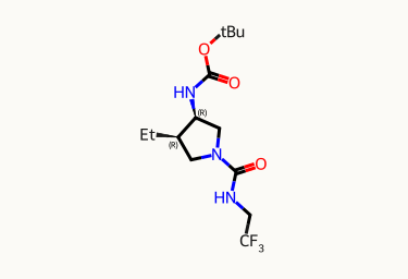 CC[C@@H]1CN(C(=O)NCC(F)(F)F)C[C@@H]1NC(=O)OC(C)(C)C